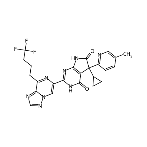 Cc1ccc(C2(C3CC3)C(=O)Nc3nc(-c4cn5ncnc5c(CCCC(F)(F)F)n4)[nH]c(=O)c32)nc1